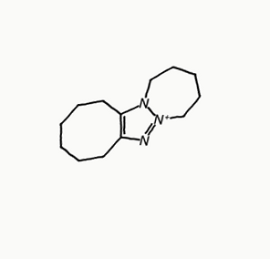 C1CCCc2c(n[n+]3n2CCCCC3)CC1